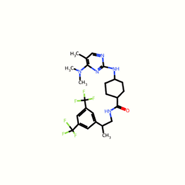 Cc1cnc(NC2CCC(C(=O)NCC(C)c3cc(C(F)(F)F)cc(C(F)(F)F)c3)CC2)nc1N(C)C